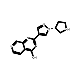 Oc1nc(-c2cnn([C@@H]3CCNC3)c2)nc2cnccc12